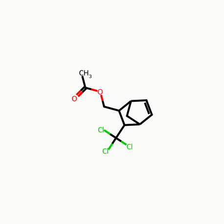 CC(=O)OCC1C2C=CC(C2)C1C(Cl)(Cl)Cl